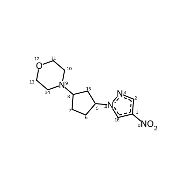 O=[N+]([O-])c1cnn(C2CCC(N3CCOCC3)C2)c1